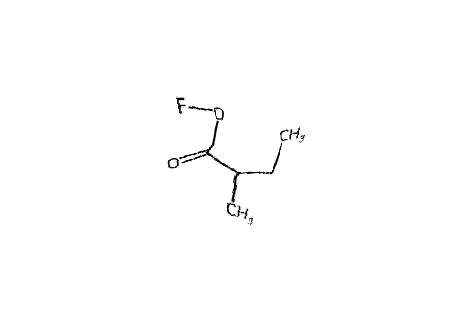 CCC(C)C(=O)OF